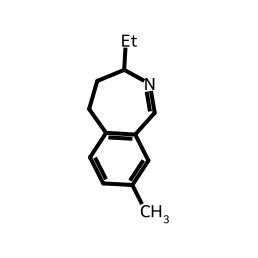 CCC1CCc2ccc(C)cc2C=N1